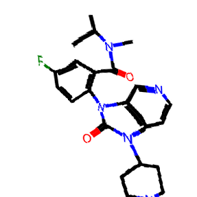 CC(C)N(C)C(=O)c1cc(F)ccc1-n1c(=O)n(C2CCNCC2)c2ccncc21